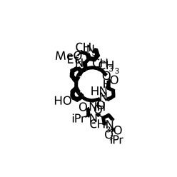 CCn1c(-c2cccnc2[C@H](C)OC)c2c3cc(ccc31)-c1cc(O)cc(c1)C[C@H](NC(=O)[C@H](C(C)C)N(C)C(=O)[C@H]1CCN(C(=O)OC(C)C)C1)C(=O)N1CCC[C@H](N1)C(=O)OCC(C)(C)C2